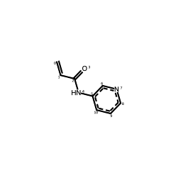 C=CC(=O)Nc1[c]nccc1